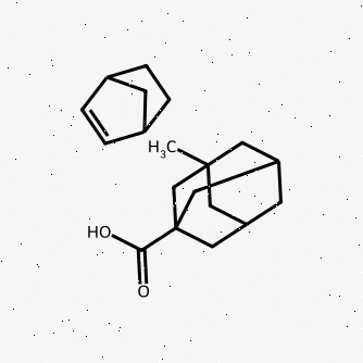 C1=CC2CCC1C2.CC12CC3CC(C1)CC(C(=O)O)(C3)C2